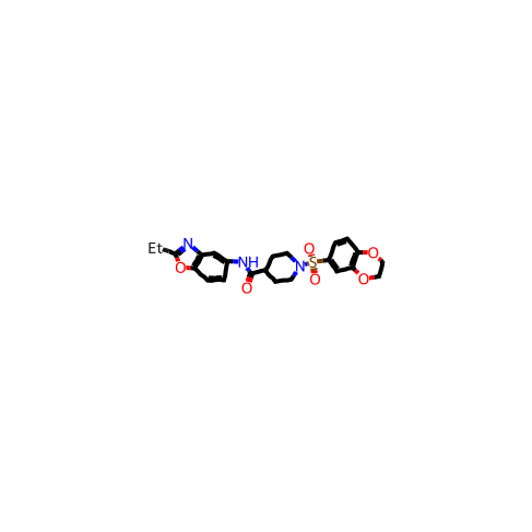 CCc1nc2cc(NC(=O)C3CCN(S(=O)(=O)c4ccc5c(c4)OCCO5)CC3)ccc2o1